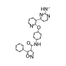 CNc1nccc(-c2cccnc2Oc2ccc(NC(=O)c3cnoc3-c3ccccc3)cc2)n1